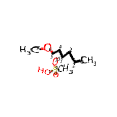 CCCCCCOC.CS(=O)(=O)O